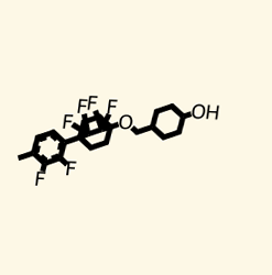 Cc1ccc(C23CCC(OCC4CCC(O)CC4)(CC2)C(F)(F)C3(F)F)c(F)c1F